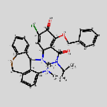 C[C@@H](N1CN([C@@H]2c3ccccc3SCc3cccc(N(C)C)c32)C2C=C(Cl)C(=O)C(OCc3ccccc3)=C2C1=O)C(F)(F)F